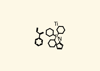 C1=CCC(N=P(C2CCCCC2)(C2CCCCC2)C2CCCCC2)=C1.C=CC(=C)c1ccccc1.[Ti]